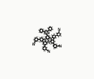 N#Cc1cccc(-c2ccc3c(c2)c2cc(-c4cccc(C#N)c4)ccc2n3-c2cc(-c3nc(-c4ccccc4)cc(-c4ccccc4)n3)cc(-n3c4ccc(-c5cccc(C#N)c5)cc4c4cc(-c5cccc(C#N)c5)ccc43)c2C#N)c1